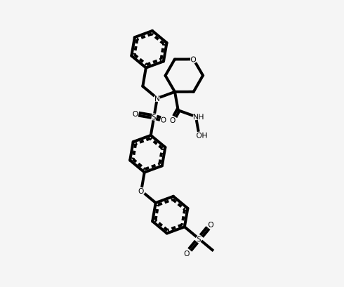 CS(=O)(=O)c1ccc(Oc2ccc(S(=O)(=O)N(Cc3ccccc3)C3(C(=O)NO)CCOCC3)cc2)cc1